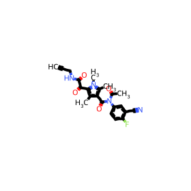 C#CCNC(=O)C(=O)c1c(C)c(C(=O)N(C(C)=O)c2ccc(F)c(C#N)c2)c(C)n1C